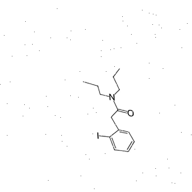 CCCN(CCC)C(=O)Cc1ccccc1I